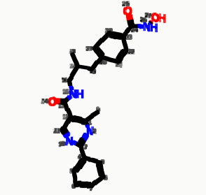 Cc1nc(-c2ccccc2)ncc1C(=O)NCC(C)Cc1ccc(C(=O)NO)cc1